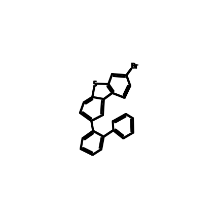 Brc1ccc2c(c1)sc1ccc(-c3ccccc3-c3ccccc3)cc12